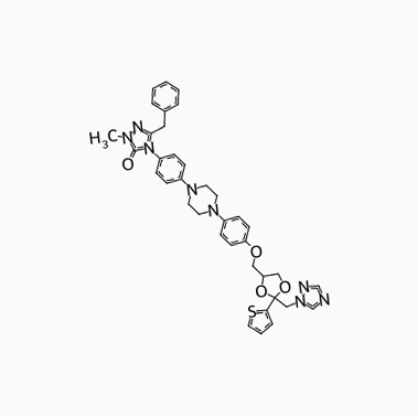 Cn1nc(Cc2ccccc2)n(-c2ccc(N3CCN(c4ccc(OCC5COC(Cn6cncn6)(c6cccs6)O5)cc4)CC3)cc2)c1=O